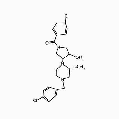 C[C@@H]1CN(Cc2ccc(Cl)cc2)CCN1C1CN(C(=O)c2ccc(Cl)cc2)CC1O